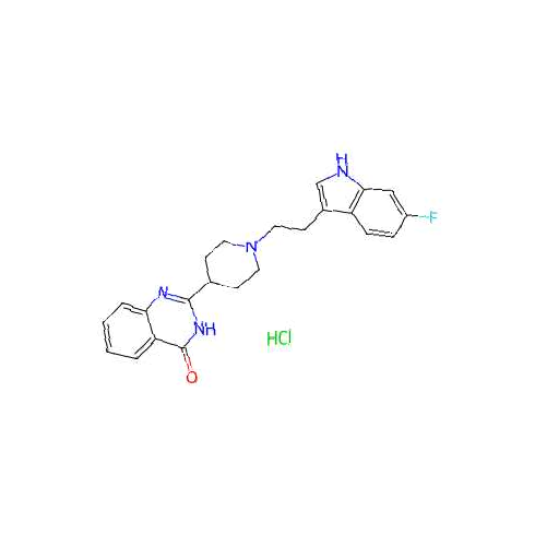 Cl.O=c1[nH]c(C2CCN(CCc3c[nH]c4cc(F)ccc34)CC2)nc2ccccc12